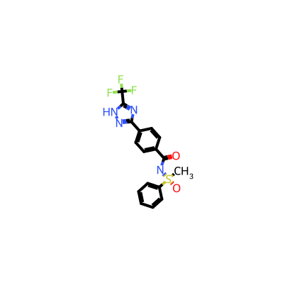 CS(=O)(=NC(=O)c1ccc(-c2n[nH]c(C(F)(F)F)n2)cc1)c1ccccc1